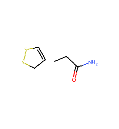 C1=CSSC1.CCC(N)=O